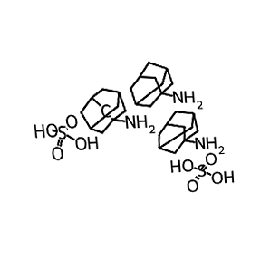 NC12CC3CC(CC(C3)C1)C2.NC12CC3CC(CC(C3)C1)C2.NC12CC3CC(CC(C3)C1)C2.O=S(=O)(O)O.O=S(=O)(O)O